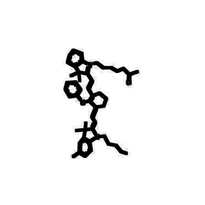 CCCCCN1/C(=C/C=C2\CCCC(/C=C/C3=[N+](CCCCCC(C)=O)c4ccccc4C3(C)C)=C2Oc2ccccc2)C(C)(C)c2cc(C)ccc21